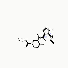 C=C/N=C1/NC=C/C1=C(/C)N(C)C1CN(C(=C)CC#N)CCC1C